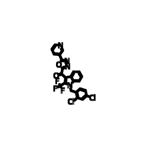 O=C(c1nnc(-c2cccnc2)o1)c1c(C(F)(F)F)n(Cc2ccc(Cl)cc2Cl)c2ccccc12